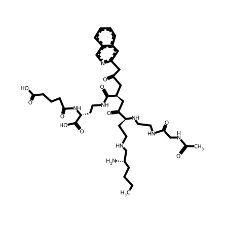 CCCC[C@H](N)CNCC[C@H](NCCNC(=O)CNC(C)=O)C(=O)C[C@H](CC(=O)Cc1cc2ccccc2cn1)C(=O)NCC[C@@H](NC(=O)CCCC(=O)O)C(=O)O